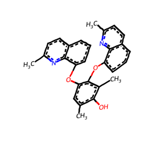 Cc1ccc2cccc(Oc3cc(C)c(O)c(C)c3Oc3cccc4ccc(C)nc34)c2n1